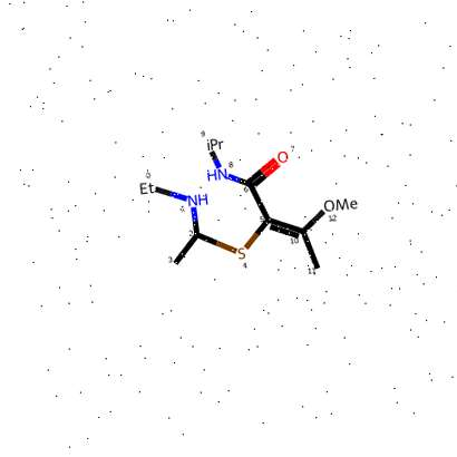 CCNC(C)S/C(C(=O)NC(C)C)=C(\C)OC